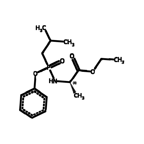 CCOC(=O)[C@H](C)NP(=O)(CC(C)C)Oc1ccccc1